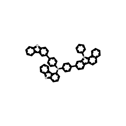 c1ccc(-n2c3cc(-c4ccc(N(c5ccc(-c6ccc7oc8ccccc8c7c6)cc5)c5cccc6oc7ccccc7c56)cc4)ccc3c3ccc4ccccc4c32)cc1